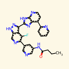 CCCC(=O)Nc1cncc(-c2ncc3[nH]nc(-c4nc5c(-c6ccccn6)ccnc5[nH]4)c3c2F)c1